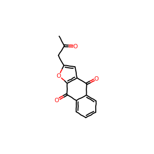 CC(=O)Cc1cc2c(o1)C(=O)c1ccccc1C2=O